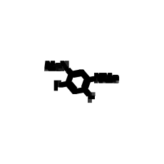 CNc1cc(NC)c(F)cc1F